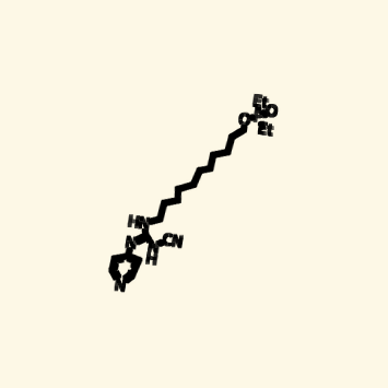 CCP(=O)(CC)OCCCCCCCCCCCNC(=Nc1ccncc1)NC#N